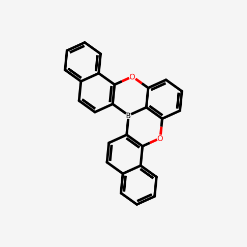 c1cc2c3c(c1)Oc1c(ccc4ccccc14)B3c1ccc3ccccc3c1O2